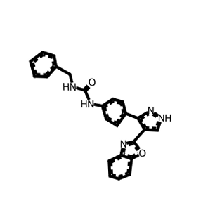 O=C(NCc1ccccc1)Nc1ccc(-c2n[nH]cc2-c2nc3ccccc3o2)cc1